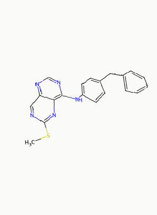 CSc1ncc2ncnc(Nc3ccc(Cc4ccccc4)cc3)c2n1